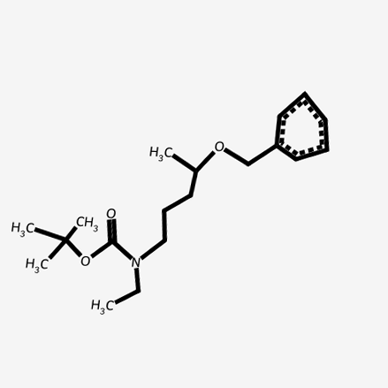 CCN(CCCC(C)OCc1ccccc1)C(=O)OC(C)(C)C